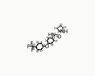 O=C(Nc1ccc(Oc2ccc(C(F)(F)F)cc2)cc1)[C@@H]1CCCN1